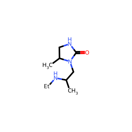 CCNC(C)CN1C(=O)NCC1C